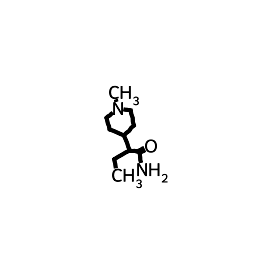 CCC(C(N)=O)C1CCN(C)CC1